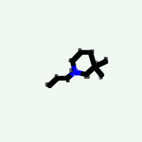 CCCN1CCCC(C)(C)C1